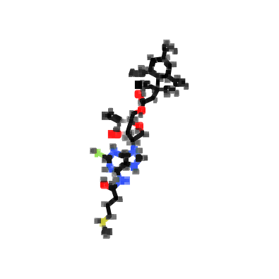 C#C[C@]1(COC(=O)CC(C)(C)c2c(C)cc(C)cc2OC(C)=O)OC[C@@H](n2cnc3c(NC(=O)CCCSC(C)=O)nc(F)nc32)[C@@H]1O